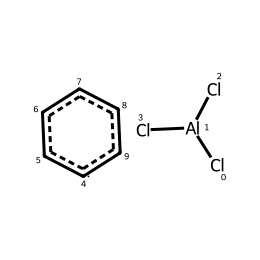 [Cl][Al]([Cl])[Cl].[c]1ccccc1